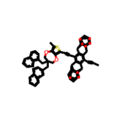 CC#Cc1c2c(c(C#Cc3sc(C)c4c3OCC(Cc3ccc5ccccc5c3)(Cc3cccc5ccccc35)CO4)c3c1C1c4ccccc4C3c3ccccc31)C1c3ccccc3C2c2ccccc21